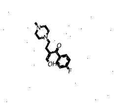 CN1CCN(CCC(=CO)C(=O)c2ccc(F)cc2)CC1